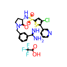 N=C(N)c1cccc(CN2CC[C@H](NS(=O)(=O)c3cc(Cl)c(-c4cccnc4)s3)C2=O)c1.O=C(O)C(F)(F)F